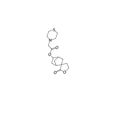 O=C(CN1CCSCC1)OC1CC2CC1CC21CCOC1=O